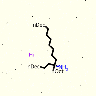 CCCCCCCCCCCCCCCCCC(N)(CCCCCCCC)CCCCCCCCCCCC.I